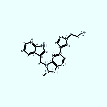 CN1Nc2ncc(-c3cnn(CCO)c3)nc2N1Cc1c[nH]c2ncccc12